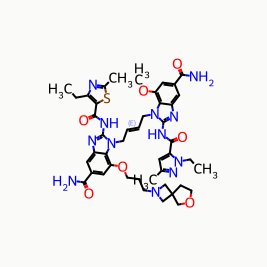 CCc1nc(C)sc1C(=O)Nc1nc2cc(C(N)=O)cc(OCCCN3CC4(CCOC4)C3)c2n1C/C=C/Cn1c(NC(=O)c2cc(C)nn2CC)nc2cc(C(N)=O)cc(OC)c21